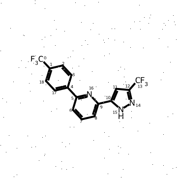 FC(F)(F)c1ccc(-c2cccc(-c3cc(C(F)(F)F)n[nH]3)n2)cc1